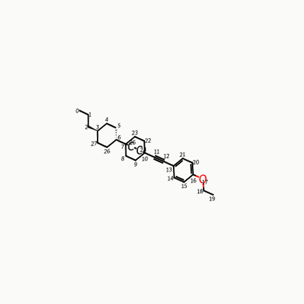 CCC[C@H]1CC[C@H](C23CCC(C#Cc4ccc(OCC)cc4)(CC2)CC3)CC1